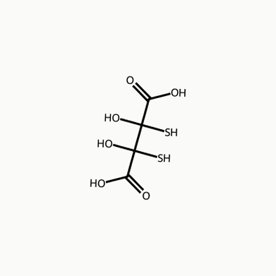 O=C(O)C(O)(S)C(O)(S)C(=O)O